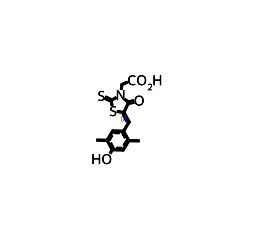 Cc1cc(/C=C2\SC(=S)N(CC(=O)O)C2=O)c(C)cc1O